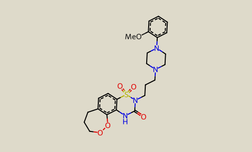 COc1ccccc1N1CCN(CCCN2C(=O)Nc3c(ccc4c3OOCCC4)S2(=O)=O)CC1